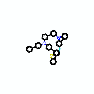 Fc1ccc2c(c1)c1ccccc1n2-c1cccc(-c2cccc(N(c3ccc(-c4ccccc4)cc3)c3ccc(-c4cccc5c4sc4ccccc45)cc3)c2)c1